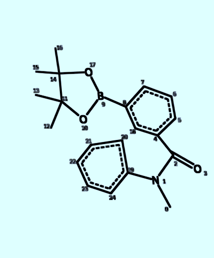 CN(C(=O)c1cccc(B2OC(C)(C)C(C)(C)O2)c1)c1ccccc1